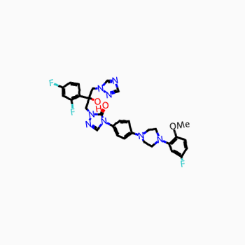 COc1ccc(F)cc1N1CCN(c2ccc(-n3cnn(CC(O)(Cn4cncn4)c4ccc(F)cc4F)c3=O)cc2)CC1